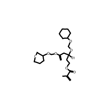 C=C(CC(CC)(CCOC(=O)C(=C)C)OCOC1CCCCC1)OCOC1CCCCC1